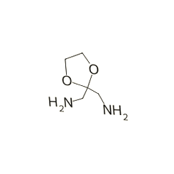 NCC1(CN)OCCO1